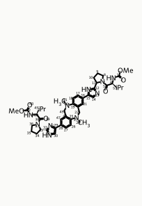 COC(=O)N[C@H](C(=O)N1CCCC1c1ncc(-c2ccc3c(c2)CN(C)c2ccc(-c4c[nH]c([C@@H]5CCCN5C(=O)[C@@H](NC(=O)OC)C(C)C)n4)cc2CN3C)[nH]1)C(C)C